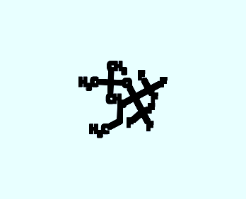 CCCC(OC(C)(C)C)(C(F)(F)F)C(F)(F)F